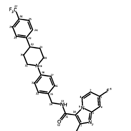 Cc1nc2cc(F)ccn2c1C(=O)NCc1ccc(N2CCC(c3ccc(C(F)(F)F)cc3)CC2)cc1